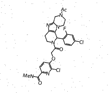 CNC(=O)c1ccc(OCC(=O)N2CCc3nc4n(c3C2c2ccc(Cl)cc2F)CCN(C(C)=O)C4)c(Cl)n1